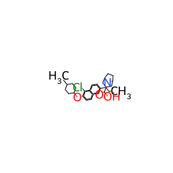 CCC1CCC(Oc2ccc3cc(C(CC)N4C5CCC4CC(C(=O)O)C5)ccc3c2Cl)CC1